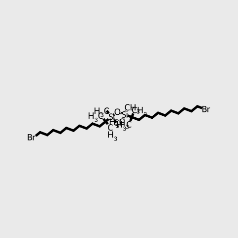 CC(C)(CCCCCCCCCCBr)[Si](C)(C)O[Si](C)(C)C(C)(C)CCCCCCCCCCBr